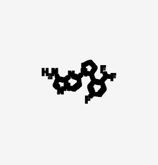 Nc1cnn2ccc(N3CCCC3c3cc(F)ccc3C(F)F)nc12